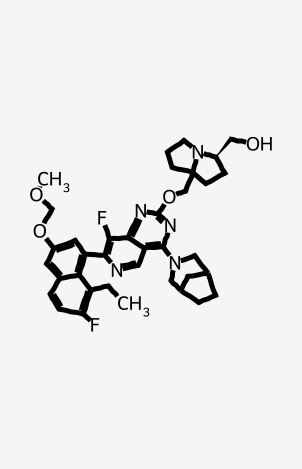 CCc1c(F)ccc2cc(OCOC)cc(-c3ncc4c(N5CC6CCC(C6)C5)nc(OCC56CCCN5[C@@H](CO)CC6)nc4c3F)c12